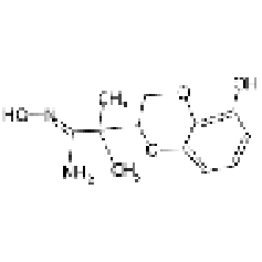 CC(C)(C(N)=NO)C1COc2c(O)cccc2O1